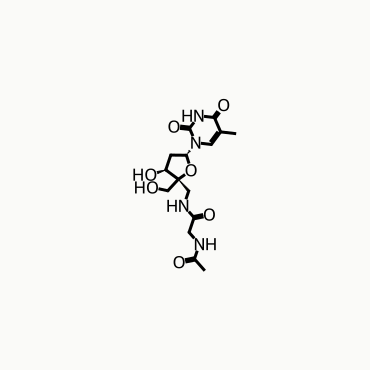 CC(=O)NCC(=O)NC[C@]1(CO)O[C@@H](n2cc(C)c(=O)[nH]c2=O)C[C@@H]1O